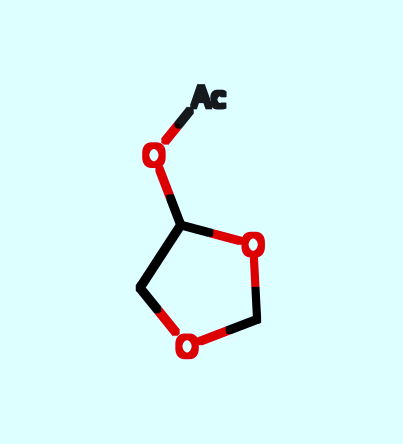 CC(=O)OC1COCO1